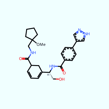 COC1(CNC(=O)C2C=CC=C([C@@H](CO)NC(=O)c3ccc(-c4cn[nH]c4)cc3)C2)CCCC1